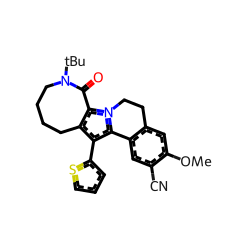 COc1cc2c(cc1C#N)-c1c(-c3cccs3)c3c(n1CC2)C(=O)N(C(C)(C)C)CCCC3